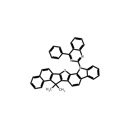 CC1(C)c2c(ccc3ccccc23)-c2sc3c(ccc4c5ccccc5n(-c5nc(-c6ccccc6)c6ccccc6n5)c43)c21